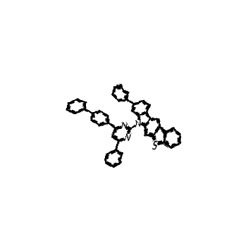 c1ccc(-c2ccc(-c3cc(-c4ccccc4)nc(-n4c5cc(-c6ccccc6)ccc5c5cc6c(cc54)sc4ccccc46)n3)cc2)cc1